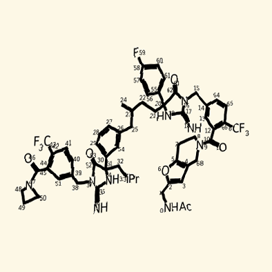 CC(=O)NCc1cc2c(o1)CCN(C(=O)c1cc(CN3C(=N)NC(CCC(C)Cc4cccc(C5(CC(C)C)NC(=N)N(Cc6ccc(C(F)(F)F)c(C(=O)N7CCC7)c6)C5=O)c4)(c4ccc(F)cc4)C3=O)ccc1C(F)(F)F)C2